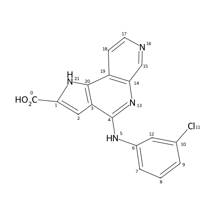 O=C(O)c1cc2c(Nc3cccc(Cl)c3)nc3cnccc3c2[nH]1